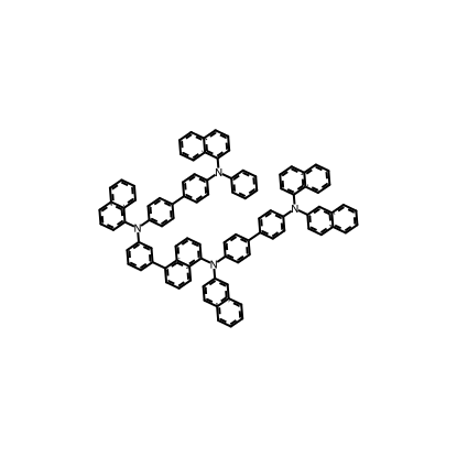 c1ccc(N(c2ccc(-c3ccc(N(c4cccc(-c5cccc6c(N(c7ccc(-c8ccc(N(c9ccc%10ccccc%10c9)c9cccc%10ccccc9%10)cc8)cc7)c7ccc8ccccc8c7)cccc56)c4)c4cccc5ccccc45)cc3)cc2)c2cccc3ccccc23)cc1